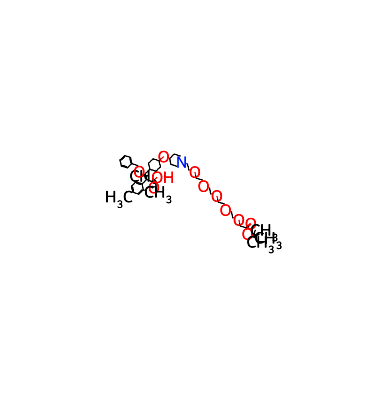 Cc1cc(C)c(/C(C(=O)O)=C(\OCc2ccccc2)C2CCC(OC3CCN(CCOCCOCCOCCOCCOCC(=O)OC(C)(C)C)CC3)CC2)c(C)c1